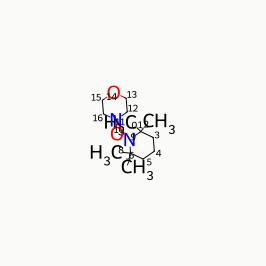 CC1(C)CCCC(C)(C)N1ON1CCOCC1